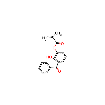 C=C(C)C(=O)Oc1cccc(C(=O)c2ccccc2)c1O